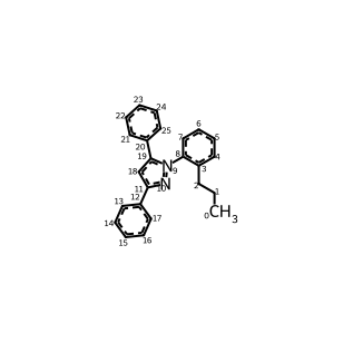 CCCc1ccccc1-n1nc(-c2ccccc2)cc1-c1ccccc1